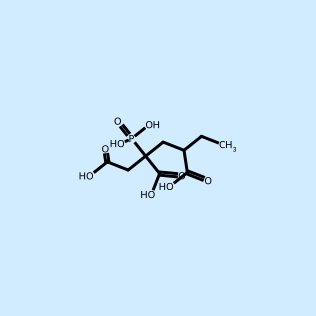 CCC(CC(CC(=O)O)(C(=O)O)P(=O)(O)O)C(=O)O